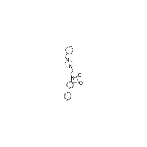 O=C1C(=O)N(CCN2CCN(Cc3ccccc3)CC2)c2ccc(-c3ccccc3)cc21